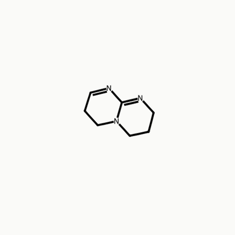 C1=NC2=NCCCN2CC1